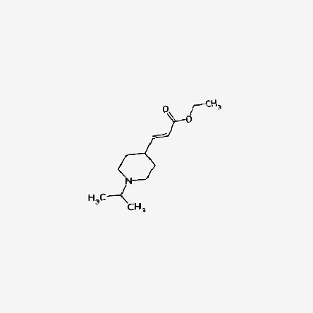 CCOC(=O)C=CC1CCN(C(C)C)CC1